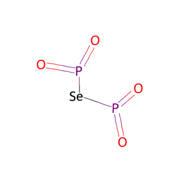 O=P(=O)[Se]P(=O)=O